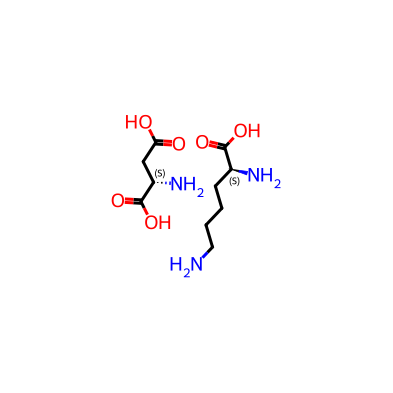 NCCCC[C@H](N)C(=O)O.N[C@@H](CC(=O)O)C(=O)O